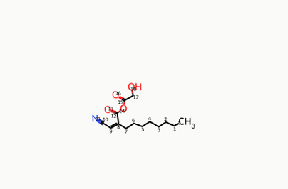 CCCCCCCCC(=CC#N)C(=O)OC(=O)CO